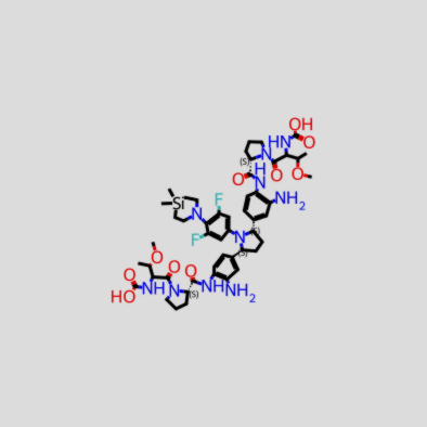 COC(C)C(NC(=O)O)C(=O)N1CCC[C@H]1C(=O)Nc1ccc([C@@H]2CC[C@@H](c3ccc(NC(=O)[C@@H]4CCCN4C(=O)C(NC(=O)O)C(C)OC)c(N)c3)N2c2cc(F)c(N3CC[Si](C)(C)CC3)c(F)c2)cc1N